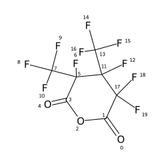 O=C1OC(=O)C(F)(C(F)(F)F)C(F)(C(F)(F)F)C1(F)F